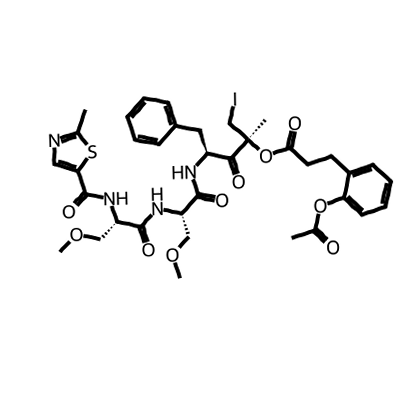 COC[C@H](NC(=O)c1cnc(C)s1)C(=O)N[C@@H](COC)C(=O)N[C@@H](Cc1ccccc1)C(=O)[C@@](C)(CI)OC(=O)CCc1ccccc1OC(C)=O